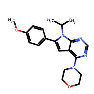 COc1ccc(-c2cc3c(N4CCOCC4)ncnc3n2C(C)C)cc1